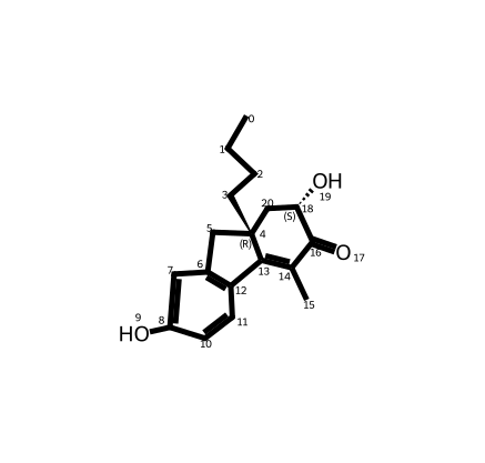 CCCC[C@]12Cc3cc(O)ccc3C1=C(C)C(=O)[C@@H](O)C2